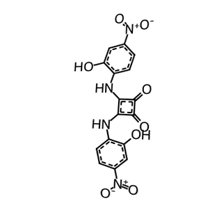 O=c1c(Nc2ccc([N+](=O)[O-])cc2O)c(Nc2ccc([N+](=O)[O-])cc2O)c1=O